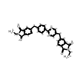 CCN1C(=O)c2ccc(Cc3ccc(-c4ncc(Cc5ccc6c(c5)C(=O)N(CC)C6=O)cn4)cc3)cc2C1=O